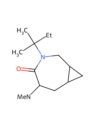 CCC(C)(C)N1CC2CC2CC(NC)C1=O